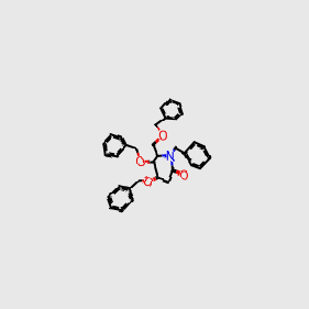 O=C1CC(OCc2ccccc2)C(OCc2ccccc2)C(COCc2ccccc2)N1Cc1ccccc1